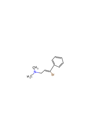 CN(C)CC=C(Br)c1ccccc1